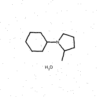 CC1CCCN1C1CCCCC1.O